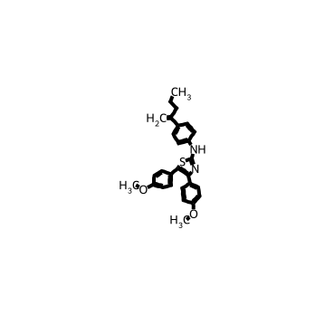 C=C(CCC)c1ccc(Nc2nc(-c3ccc(OC)cc3)c(-c3ccc(OC)cc3)s2)cc1